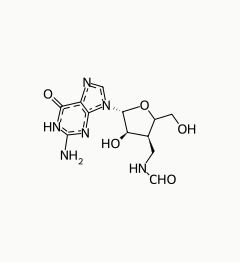 Nc1nc2c(ncn2[C@@H]2OC(CO)[C@@H](CNC=O)[C@H]2O)c(=O)[nH]1